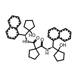 O=C(N[C@@H](c1cccc2ccccc12)C1(O)CCCC1)C1(C(=O)N[C@@H](c2cccc3ccccc23)C2(O)CCCC2)CCCC1